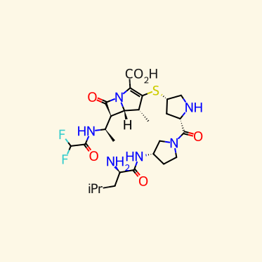 CC(C)C[C@@H](N)C(=O)N[C@H]1CCN(C(=O)[C@@H]2C[C@H](SC3=C(C(=O)O)N4C(=O)[C@H]([C@@H](C)NC(=O)C(F)F)[C@H]4[C@H]3C)CN2)C1